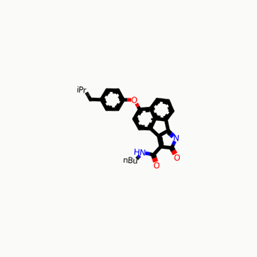 CCCCNC(=O)C1=C2C(=NC1=O)c1cccc3c(Oc4ccc(CC(C)C)cc4)ccc2c13